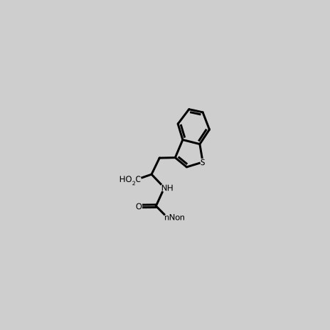 CCCCCCCCCC(=O)NC(Cc1csc2ccccc12)C(=O)O